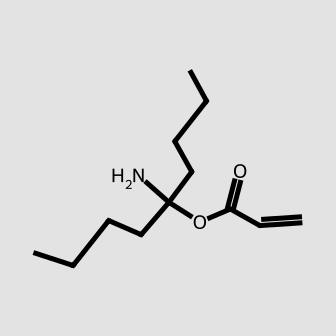 C=CC(=O)OC(N)(CCCC)CCCC